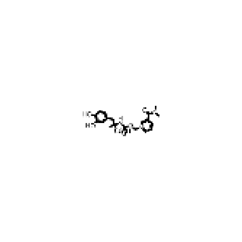 CN(C)C(=O)c1ccc[n+](COC(=O)NC(I)(Cc2ccc(O)c(O)c2)C(=O)O)c1